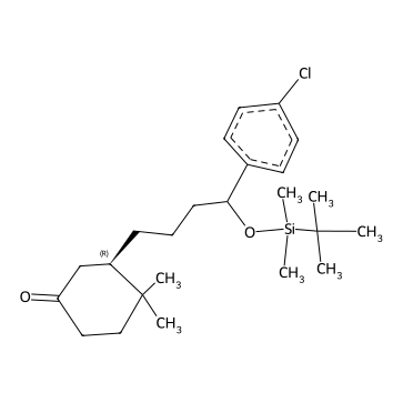 CC1(C)CCC(=O)C[C@H]1CCCC(O[Si](C)(C)C(C)(C)C)c1ccc(Cl)cc1